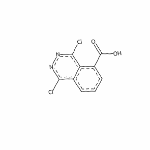 O=C(O)c1cccc2c(Cl)nnc(Cl)c12